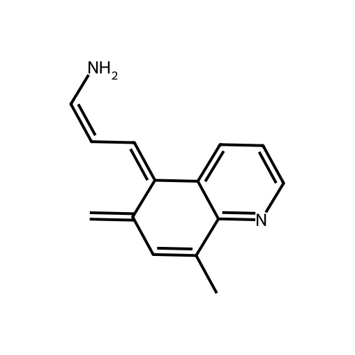 C=c1cc(C)c2ncccc2/c1=C/C=C\N